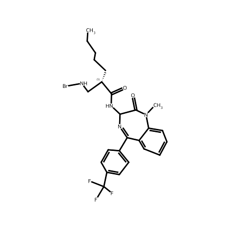 CCCCC[C@@H](CNBr)C(=O)NC1N=C(c2ccc(C(F)(F)F)cc2)c2ccccc2N(C)C1=O